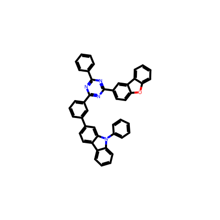 c1ccc(-c2nc(-c3cccc(-c4ccc5c6ccccc6n(-c6ccccc6)c5c4)c3)nc(-c3ccc4oc5ccccc5c4c3)n2)cc1